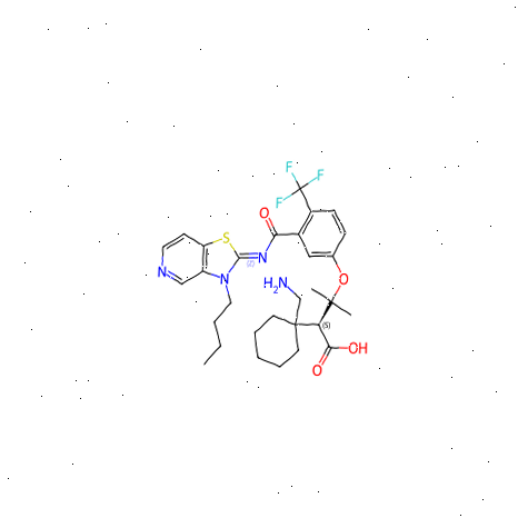 CCCCn1/c(=N/C(=O)c2cc(OC(C)(C)[C@@H](C(=O)O)C3(CN)CCCCC3)ccc2C(F)(F)F)sc2ccncc21